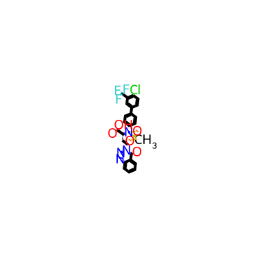 CS(=O)(=O)N(c1ccc(-c2ccc(Cl)c(C(F)(F)F)c2)cc1)[C@H](CCn1nnc2ccccc2c1=O)C(=O)O